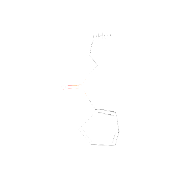 CCCCCCCC[P](=O)c1ccccc1